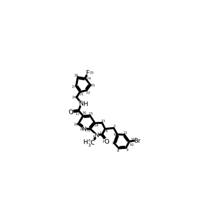 CN1C(=O)C(Cc2cccc(Br)c2)Cc2cc(C(=O)NCc3ccc(F)cc3)cnc21